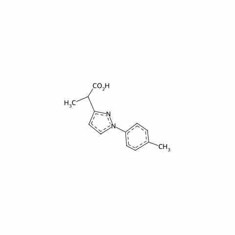 Cc1ccc(-n2ccc(C(C)C(=O)O)n2)cc1